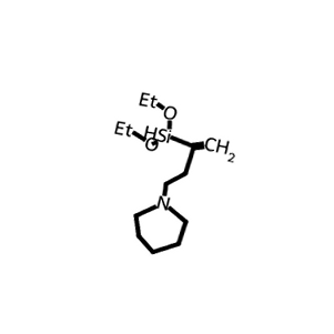 C=C(CCN1CCCCC1)[SiH](OCC)OCC